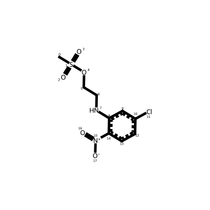 CS(=O)(=O)OCCNc1cc(Cl)ccc1[N+](=O)[O-]